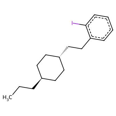 CCC[C@H]1CC[C@H](CCc2ccccc2I)CC1